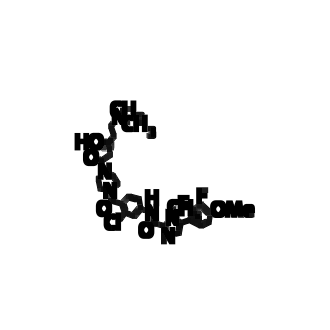 COc1ccc(-c2cnc(C(=O)Nc3ccc(C(=O)N4CCN(C(=O)C[C@@H](O)CCN(C)C)CC4)c(Cl)c3)n2C)c(F)c1F